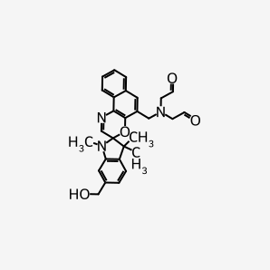 CN1c2cc(CO)ccc2C(C)(C)C12C=Nc1c(c(CN(CC=O)CC=O)cc3ccccc13)O2